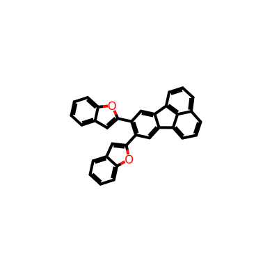 c1ccc2oc(-c3cc4c(cc3-c3cc5ccccc5o3)-c3cccc5cccc-4c35)cc2c1